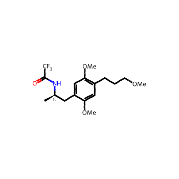 COCCCc1cc(OC)c(C[C@@H](C)NC(=O)C(F)(F)F)cc1OC